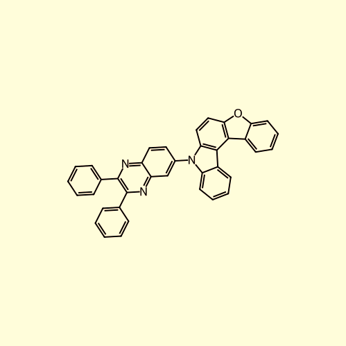 c1ccc(-c2nc3ccc(-n4c5ccccc5c5c6c(ccc54)oc4ccccc46)cc3nc2-c2ccccc2)cc1